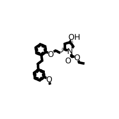 CCOC(=O)N1C[C@H](O)C[C@H]1CCOc1ccccc1CCc1cccc(OC)c1